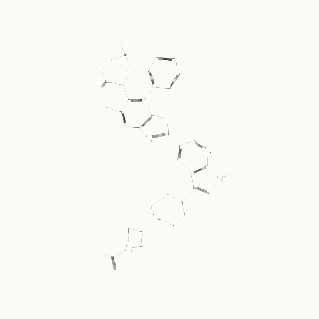 COC(=O)N1CC(N2CCC(c3cn(C)c4ncc(-c5nc6cc(C)c(C(OC(C)(C)C)C(=O)O)c(-c7ccc(Cl)cc7)c6s5)cc34)CC2)C1